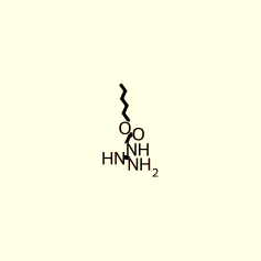 CCCCCCOC(=O)CNC(=N)N